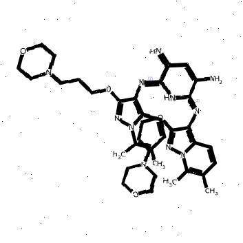 Cc1ccc2c(/N=C3\N/C(=N\c4c(OCCCN5CCOCC5)nn5c(C)c(C)ccc45)C(N)=CC3=N)c(OCCCN3CCOCC3)nn2c1C